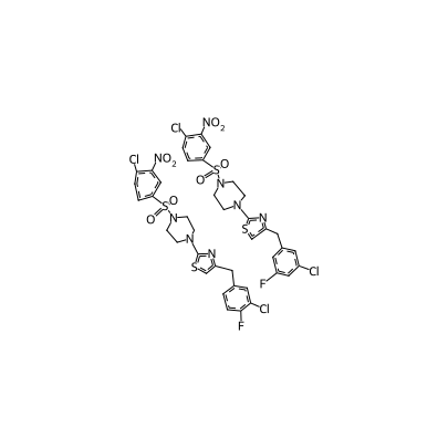 O=[N+]([O-])c1cc(S(=O)(=O)N2CCN(c3nc(Cc4cc(F)cc(Cl)c4)cs3)CC2)ccc1Cl.O=[N+]([O-])c1cc(S(=O)(=O)N2CCN(c3nc(Cc4ccc(F)c(Cl)c4)cs3)CC2)ccc1Cl